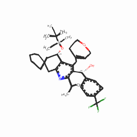 CC(C)c1nc2c(c(C3=CCOCC3)c1[C@H](O)c1ccc(C(F)(F)F)cc1)[C@@H](O[Si](C)(C)C(C)(C)C)CC1(CCCC1)C2